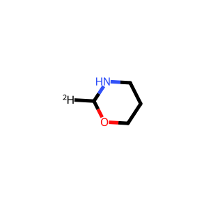 [2H]C1NCCCO1